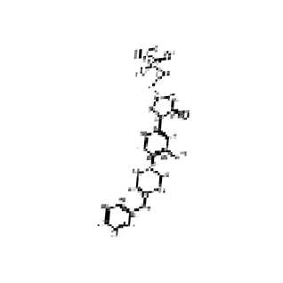 CS(=O)(=O)OC[C@H]1CC(c2ccc(N3CCN(Cc4ccccc4)CC3)c(F)c2)C(=O)O1